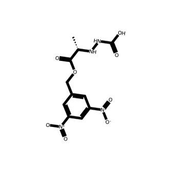 C[C@H](NNC(=O)O)C(=O)OCc1cc([N+](=O)[O-])cc([N+](=O)[O-])c1